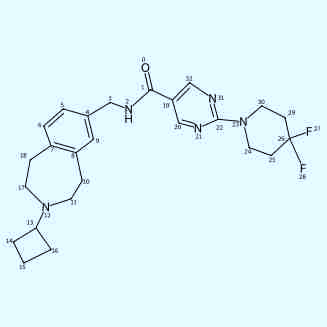 O=C(NCc1ccc2c(c1)CCN(C1CCC1)CC2)c1cnc(N2CCC(F)(F)CC2)nc1